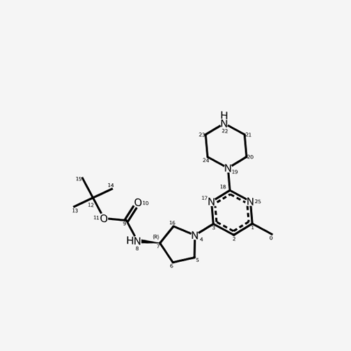 Cc1cc(N2CC[C@@H](NC(=O)OC(C)(C)C)C2)nc(N2CCNCC2)n1